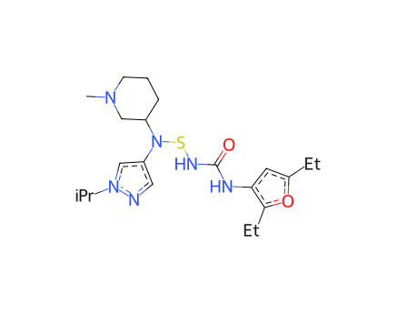 CCc1cc(NC(=O)NSN(c2cnn(C(C)C)c2)C2CCCN(C)C2)c(CC)o1